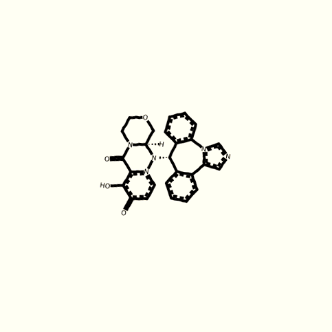 O=C1c2c(O)c(=O)ccn2N([C@H]2c3ccccc3-c3cncn3-c3ccccc32)[C@@H]2COCCN12